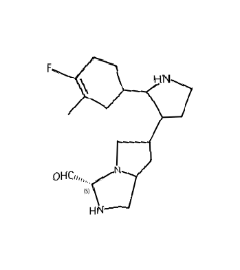 CC1=C(F)CCC(C2NCCC2C2CC3CN[C@H](C=O)N3C2)C1